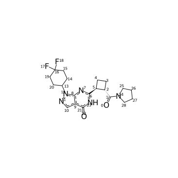 O=C([C@H]1CC[C@@H]1c1nc2c(cnn2C2CCC(F)(F)CC2)c(=O)[nH]1)N1CCCC1